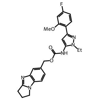 CCn1nc(-c2ccc(F)cc2OC)cc1NC(=O)OCc1ccc2c(c1)nc1n2CCC1